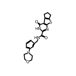 O=C(NCc1cccc(N2CCOCC2)c1)c1nc2sc3c(c2c(=O)[nH]1)CCC3